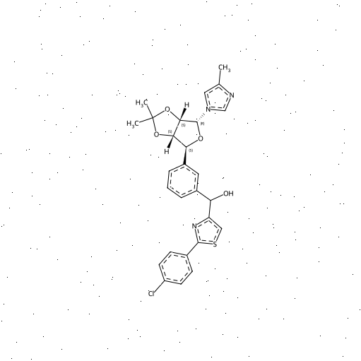 Cc1cn([C@@H]2O[C@@H](c3cccc(C(O)c4csc(-c5ccc(Cl)cc5)n4)c3)[C@@H]3OC(C)(C)O[C@@H]32)cn1